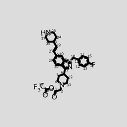 O=C(CN1CCC(c2nn(Cc3ccc(F)cc3)c3cc(C=CC4CCNCC4)ccc23)CC1)OC(=O)C(F)(F)F